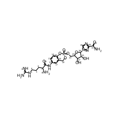 N=C(N)NCCCC(N)C(=O)Nc1ccc2c(c1)COP(=O)(OCC1OC(n3cnc(C(N)=O)n3)C(O)C1O)O2